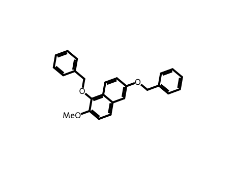 COc1ccc2cc(OCc3ccccc3)ccc2c1OCc1ccccc1